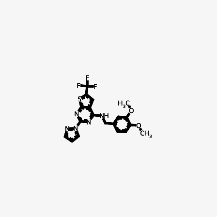 COc1ccc(CNc2nc(-n3cccn3)nc3sc(C(F)(F)F)cc23)cc1OC